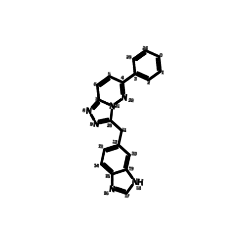 c1ccc(-c2ccc3nnc(Cc4ccc5nc[nH]c5c4)n3n2)cc1